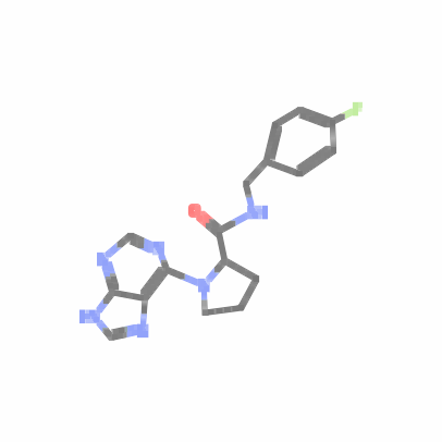 O=C(NCc1ccc(F)cc1)C1CCCN1c1ncnc2[nH]cnc12